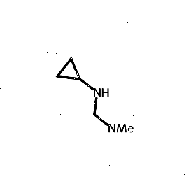 CNCNC1CC1